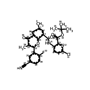 Cc1cc([C@@H](C)Nc2ccc(Cl)nc2C(=O)OC(C)(C)C)c2oc(-c3cc(C#N)ccc3F)c(C)c(=O)c2c1